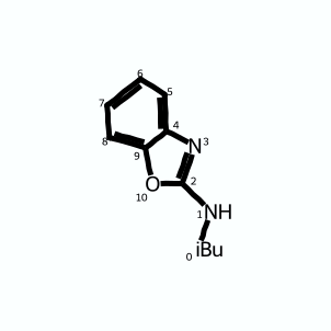 CCC(C)Nc1nc2ccccc2o1